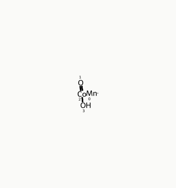 [Mn].[O]=[Co][OH]